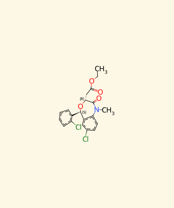 CCOC(=O)C[C@H]1O[C@H](c2ccccc2Cl)c2cc(Cl)ccc2N(C)C1=O